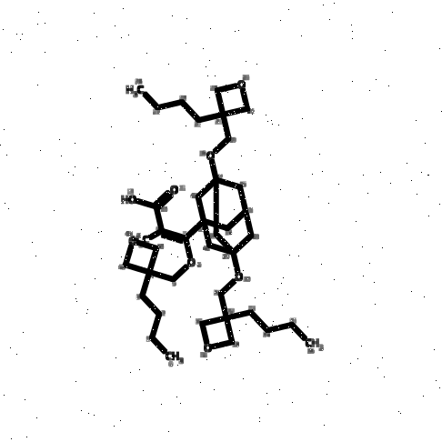 CCCCC1(COC(=C(C)C(=O)O)C23CC4CC(OCC5(CCCC)COC5)(CC(OCC5(CCCC)COC5)(C4)C2)C3)COC1